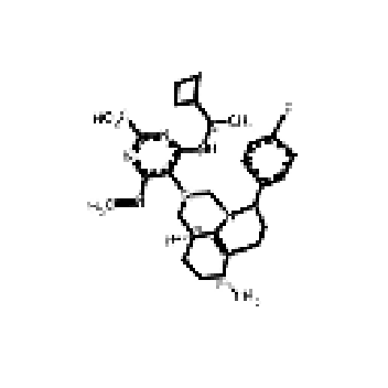 C=Nc1nc(C(=O)O)nc(N[C@H](C)C2CCC2)c1N1C[C@@H]2CC[C@@H](C)C3=C2N(C1)C(c1ccc(F)cc1)CC3